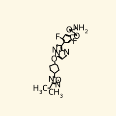 CC(C)c1noc(C2CCC(Oc3ccnc4c(-c5cc(F)c(S(N)(=O)=O)cc5F)cnn34)CC2)n1